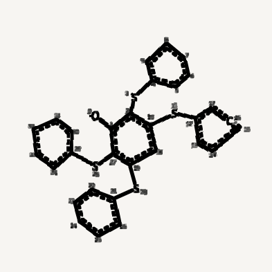 [O]c1c(Sc2ccccc2)c(Sc2ccccc2)cc(Sc2ccccc2)c1Sc1ccccc1